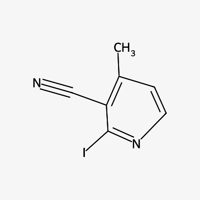 Cc1ccnc(I)c1C#N